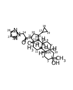 C[C@@]1(O)CC[C@H]2[C@H](CC[C@@H]3[C@@H]2CC[C@@]2(C)[C@H]3[C@H](C3CC3)C[C@@H]2C(=O)Cn2nccn2)C1